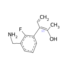 C=C/C(=C(\C)O)c1cccc(CN)c1F